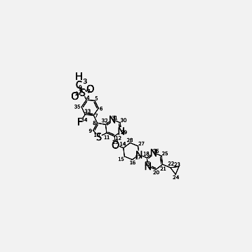 CS(=O)(=O)c1ccc(-c2csc3c(OC4CCN(c5ncc(C6CC6)cn5)CC4)ncnc23)c(F)c1